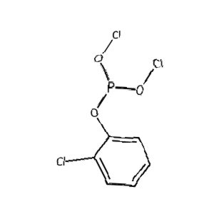 ClOP(OCl)Oc1ccccc1Cl